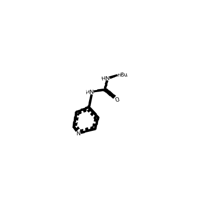 CCCCNC(=O)Nc1ccncc1